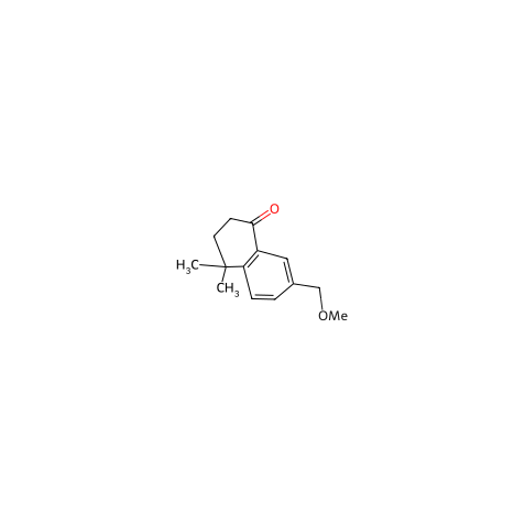 COCc1ccc2c(c1)C(=O)CCC2(C)C